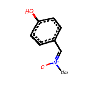 CC(C)(C)[N+]([O-])=Cc1ccc(O)cc1